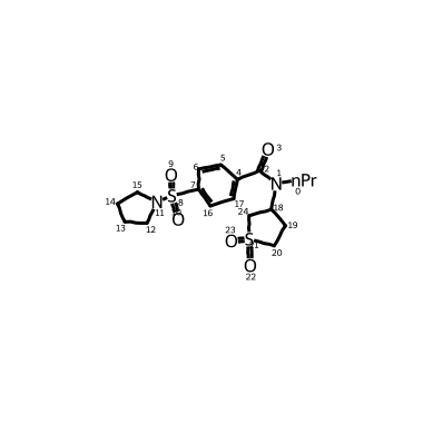 CCCN(C(=O)c1ccc(S(=O)(=O)N2CCCC2)cc1)C1CCS(=O)(=O)C1